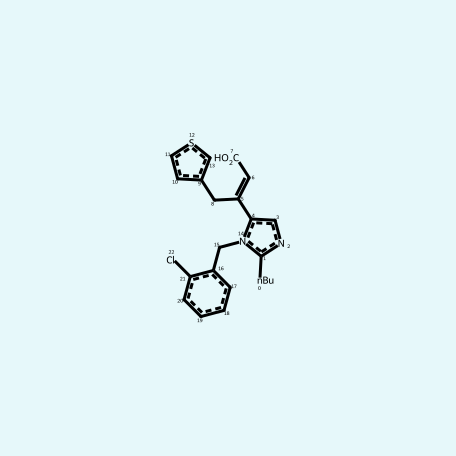 CCCCc1ncc(C(=CC(=O)O)Cc2ccsc2)n1Cc1ccccc1Cl